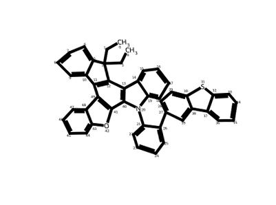 CCC1(CC)c2ccccc2-c2c1c1c3ccccc3n(-c3ccccc3-c3ccc4sc5ccccc5c4c3)c1c1oc3ccccc3c21